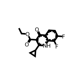 CCOC(=O)c1c(C2CC2)[nH]c2c(F)c(F)ccc2c1=O